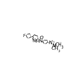 CN(C)C1CCN(c2ccc(NC(=O)c3ccc(-c4ccc(F)cc4)nc3)cc2)C1